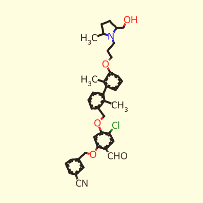 Cc1c(COc2cc(OCc3cccc(C#N)c3)c(C=O)cc2Cl)cccc1-c1cccc(OCCCN2C(C)CCC2CO)c1C